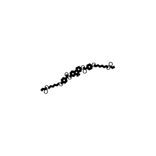 C=CC(=O)OCCCCCCOc1ccc(C(=O)Oc2ccc3c(c2)C(C)(C)c2cc(OC(=O)c4ccc(OCCCCCCOC(=O)C=C)cc4)ccc2-3)cc1